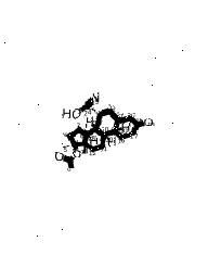 CC(=O)O[C@@]1(C)CC[C@H]2[C@H]3[C@H](CC[C@@]21C)[C@H]1CCC(=O)C=C1C[C@H]3C.N#CO